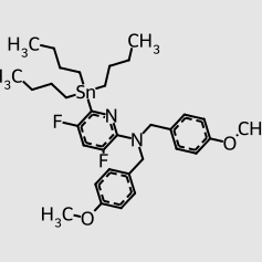 CCC[CH2][Sn]([CH2]CCC)([CH2]CCC)[c]1nc(N(Cc2ccc(OC)cc2)Cc2ccc(OC)cc2)c(F)cc1F